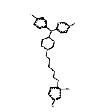 COc1cc(C(C)=O)ccc1OCCCCCN1CCC(C(c2ccc(F)cc2)c2ccc(F)cc2)CC1